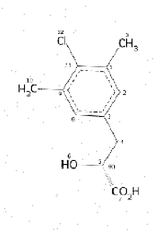 Cc1cc(C[C@@H](O)C(=O)O)cc(C)c1Cl